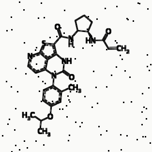 C=CC(=O)N[C@@H]1CCCC1NC(=O)c1sc2nccc3c2c1NC(=O)N3c1ccc(OC(C)C)cc1C